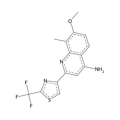 COc1ccc2c(N)cc(-c3csc(C(F)(F)F)n3)nc2c1C